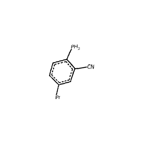 CC(C)c1ccc(P)c(C#N)c1